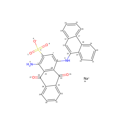 Nc1c(S(=O)(=O)[O-])cc(Nc2cc3ccccc3c3ccccc23)c2c1C(=O)c1ccccc1C2=O.[Na+]